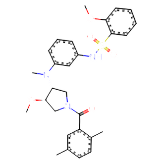 COc1ccccc1S(=O)(=O)Nc1cccc(N(C)[C@@H]2CN(C(=O)c3cc(C)ccc3C)C[C@H]2OC)c1